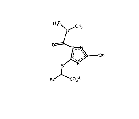 CCC(Sc1nc(C(C)(C)C)nn1C(=O)N(C)C)C(=O)O